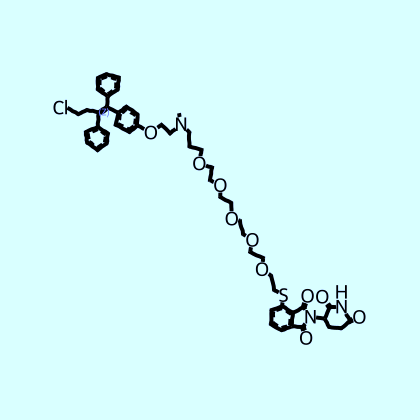 CN(CCCOCCOCCOCCOCCOCCSc1cccc2c1C(=O)N(C1CCC(=O)NC1=O)C2=O)CCOc1ccc(/C(=C(/CCCl)c2ccccc2)c2ccccc2)cc1